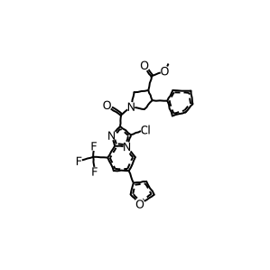 COC(=O)C1CN(C(=O)c2nc3c(C(F)(F)F)cc(-c4ccoc4)cn3c2Cl)CC1c1ccccc1